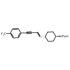 CCCCC[C@H]1CC[C@H](/C=C/C#Cc2ccc(C(F)(F)F)cc2)CC1